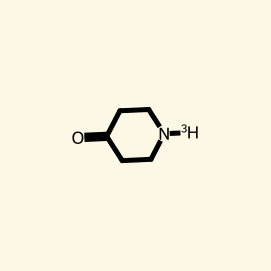 [3H]N1CCC(=O)CC1